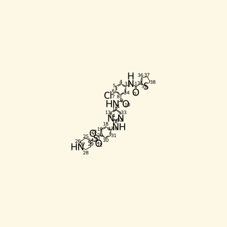 O=C(Nc1ccc(Cl)c(C(=O)Nc2cnc(Nc3ccc(S(=O)(=O)C4CCNCC4)cc3)nc2)c1)C1=CCCS1